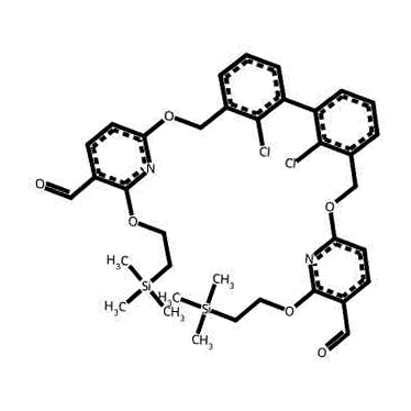 C[Si](C)(C)CCOc1nc(OCc2cccc(-c3cccc(COc4ccc(C=O)c(OCC[Si](C)(C)C)n4)c3Cl)c2Cl)ccc1C=O